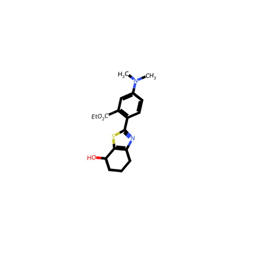 CCOC(=O)c1cc(N(C)C)ccc1-c1nc2c(s1)C(O)CCC2